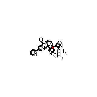 Cc1ccc(C23Cn4cc(-c5ccccn5)cc4C(=O)N2CCN3C(=O)c2conc2C)cn1